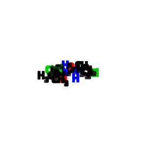 CC(NC(=O)CNC(=O)C1C(C)(C)C1(Cl)Cl)c1ccc(Cl)cc1